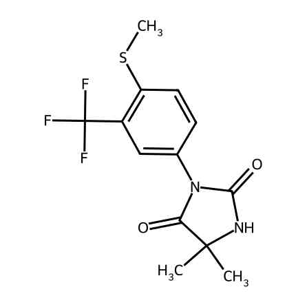 CSc1ccc(N2C(=O)NC(C)(C)C2=O)cc1C(F)(F)F